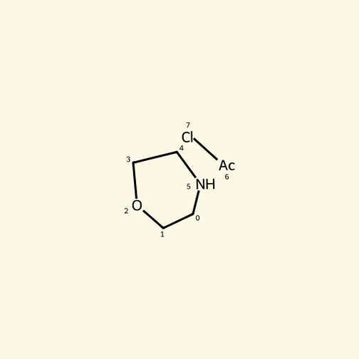 C1COCCN1.CC(=O)Cl